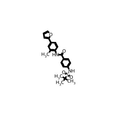 Cc1cc(-c2ccco2)ccc1NC(=O)c1ccc(NS(=O)(=O)C(C)(C)C)cc1